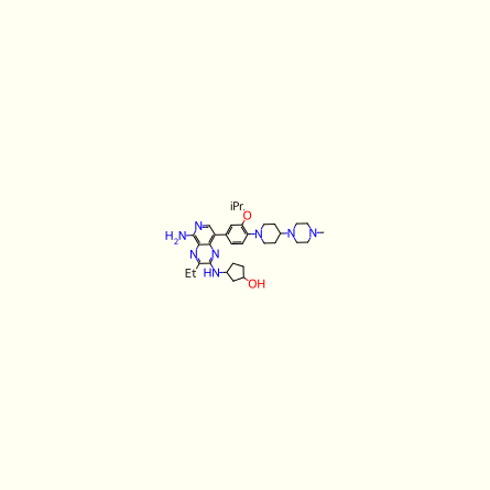 CCc1nc2c(N)ncc(-c3ccc(N4CCC(N5CCN(C)CC5)CC4)c(OC(C)C)c3)c2nc1NC1CCC(O)C1